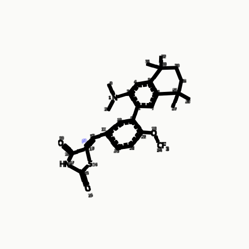 CN(C)c1cc2c(cc1-c1cc(/C=C3\SC(=O)NC3=O)ccc1OC(F)(F)F)C(C)(C)CCC2(C)C